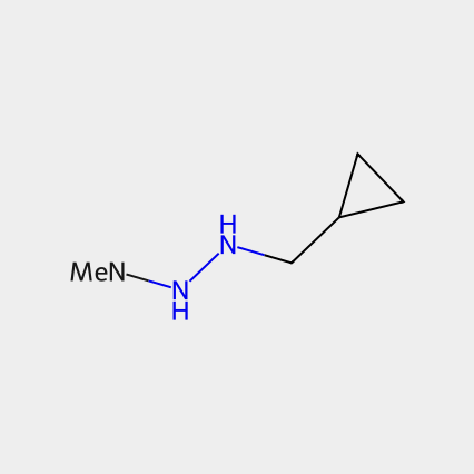 CNNNCC1CC1